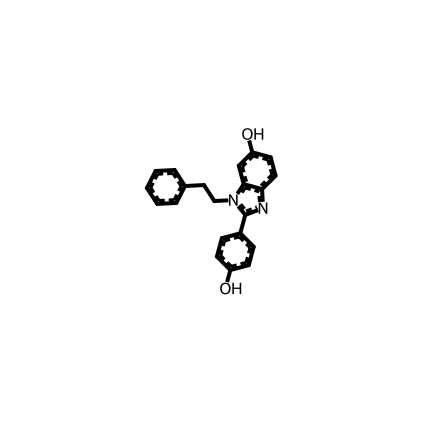 Oc1ccc(-c2nc3ccc(O)cc3n2CCc2ccccc2)cc1